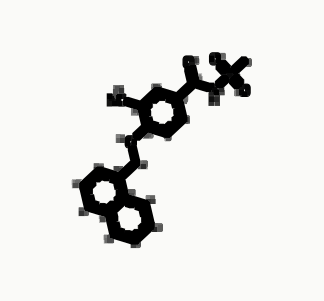 CS(=O)(=O)NC(=O)c1ccc(OCc2cccc3ccccc23)c(C#N)c1